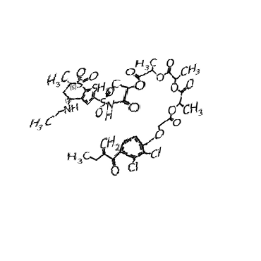 C=C(CC)C(=O)c1ccc(OCC(=O)OC(C)C(=O)OC(C)C(=O)OC(C)C(=O)OC(C)C(=O)NS(=O)(=O)c2cc3c(s2)S(=O)(=O)[C@@H](C)C[C@@H]3NCC)c(Cl)c1Cl